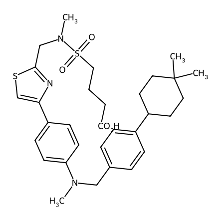 CN(Cc1ccc(C2CCC(C)(C)CC2)cc1)c1ccc(-c2csc(CN(C)S(=O)(=O)CCCC(=O)O)n2)cc1